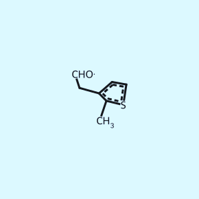 Cc1sccc1C[C]=O